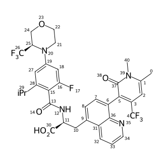 Cc1cc(C(F)(F)F)c(-c2ccc(C[C@H](NC(=O)c3c(F)cc(N4CCOC[C@@H]4C(F)(F)F)cc3C(C)C)C(=O)O)c3cccnc23)c(=O)n1C